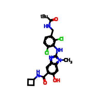 Cn1c(Nc2c(Cl)ccc(CNC(=O)C(C)(C)C)c2Cl)nc2cc(C(=O)NC3CCC3)c(O)cc21